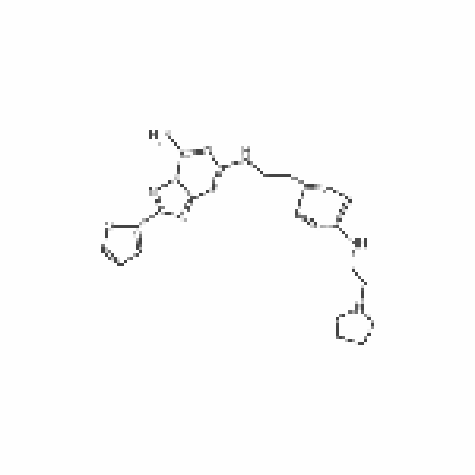 Nc1nc(NCCc2ccc(NCCN3CCCC3)cc2)nc2nc(-c3ccco3)nn12